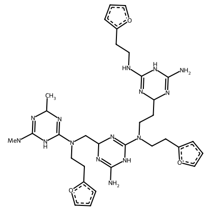 CNC1=NC(C)N=C(N(CCc2ccco2)CC2N=C(N)NC(N(CCc3ccco3)CCC3N=C(N)NC(NCCc4ccco4)=N3)=N2)N1